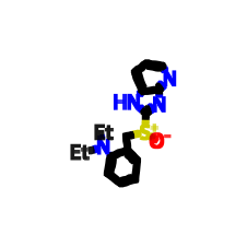 CCN(CC)c1ccccc1C[S+]([O-])c1nc2ncccc2[nH]1